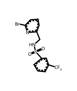 O=S(=O)(NCc1cccc(Br)n1)c1cccc(C(F)(F)F)c1